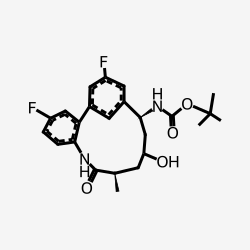 C[C@@H]1CC(O)C[C@H](NC(=O)OC(C)(C)C)c2cc(F)cc(c2)-c2cc(F)ccc2NC1=O